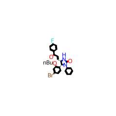 CCCCOc1cc(Br)ccc1[C@@H]1[C@H](/C=C/C(=O)c2ccc(F)cc2)NC(=O)N1c1ccccc1